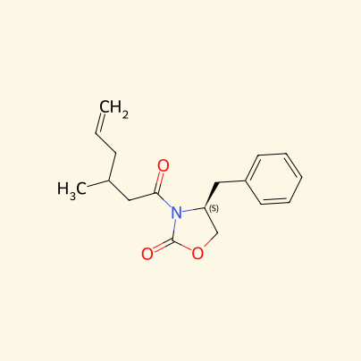 C=CCC(C)CC(=O)N1C(=O)OC[C@@H]1Cc1ccccc1